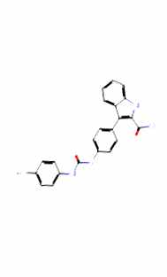 COc1ccc(NC(=O)Nc2ccc(-c3c(C(N)=O)[nH]c4ccccc34)cc2)cc1